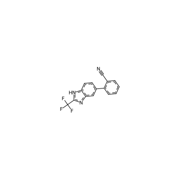 N#Cc1ccccc1-c1ccc2[nH]c(C(F)(F)F)nc2c1